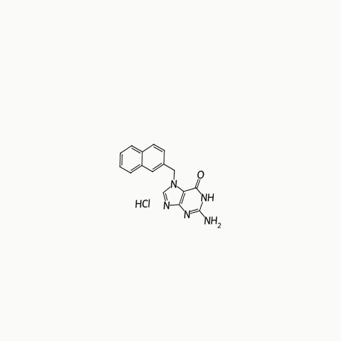 Cl.Nc1nc2ncn(Cc3ccc4ccccc4c3)c2c(=O)[nH]1